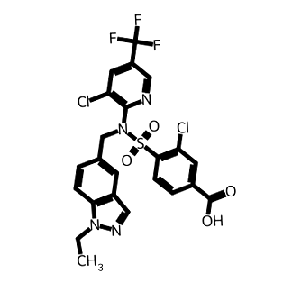 CCn1ncc2cc(CN(c3ncc(C(F)(F)F)cc3Cl)S(=O)(=O)c3ccc(C(=O)O)cc3Cl)ccc21